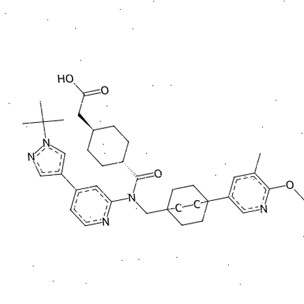 COc1ncc(C23CCC(CN(c4cc(-c5cnn(C(C)(C)C)c5)ccn4)C(=O)[C@H]4CC[C@H](CC(=O)O)CC4)(CC2)CC3)cc1C